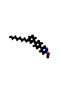 CCCCCCCCc1cc[c]c(-c2ccc(-c3ccc(OC)nc3)cc2)c1